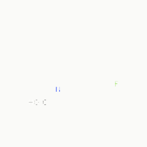 O=C(O)N1CC2=C(C1)C(F)CC=C2